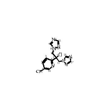 Clc1ccc(C(Cl)(Cn2cncn2)Cn2cncn2)nc1